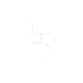 CC(C)On1ncn2c(N)ncc12